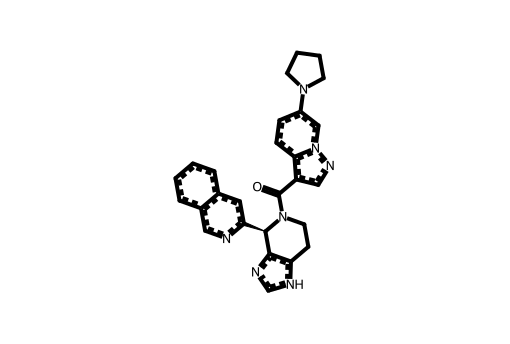 O=C(c1cnn2cc(N3CCCC3)ccc12)N1CCc2[nH]cnc2[C@H]1c1cc2ccccc2cn1